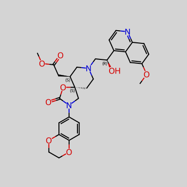 COC(=O)C[C@H]1CN(C[C@H](O)c2ccnc3ccc(OC)cc23)CC[C@@]12CN(c1ccc3c(c1)OCCO3)C(=O)O2